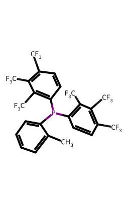 Cc1ccccc1P(c1ccc(C(F)(F)F)c(C(F)(F)F)c1C(F)(F)F)c1ccc(C(F)(F)F)c(C(F)(F)F)c1C(F)(F)F